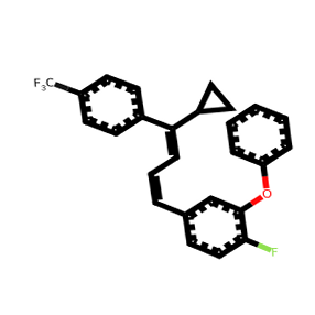 Fc1ccc(/C=C\C=C(/c2ccc(C(F)(F)F)cc2)C2CC2)cc1Oc1ccccc1